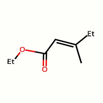 CCOC(=O)C=C(C)CC